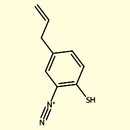 C=CCc1ccc(S)c([N+]#N)c1